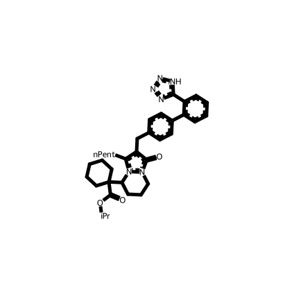 CCCCCc1c(Cc2ccc(-c3ccccc3-c3nnn[nH]3)cc2)c(=O)n2n1C(C1(C(=O)OC(C)C)CCCCC1)CCC2